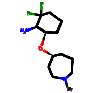 CC(C)N1CCC[C@@H](O[C@H]2CCCC(F)(F)[C@@H]2N)CC1